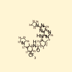 Cc1ccc(C(=O)Nc2cc(CN3CCCC3)cc(C(F)(F)F)c2)cc1Nc1ncnc2cnc(N3CCCC3)nc12